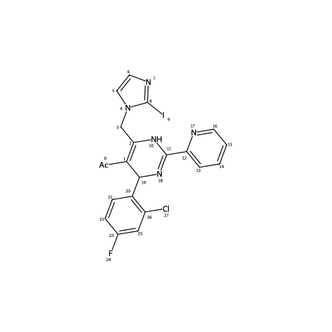 CC(=O)C1=C(Cn2ccnc2I)NC(c2ccccn2)=NC1c1ccc(F)cc1Cl